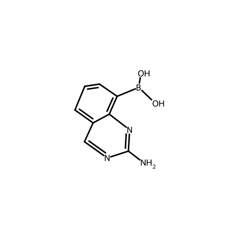 Nc1ncc2cccc(B(O)O)c2n1